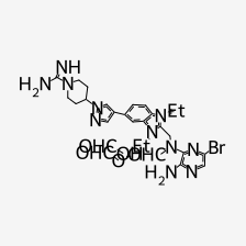 CCn1c(CN(C=O)c2nc(Br)cnc2N)[n+](CC)c2ccc(-c3cnn(C4CCN(C(=N)N)CC4)c3)cc21.O=CO.O=C[O-]